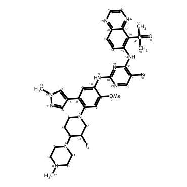 COc1cc(N2CCC(N3CCN(C)CC3)C(F)C2)c(-c2cnn(C)c2)cc1Nc1ncc(Br)c(Nc2ccc3nccnc3c2P(C)(C)=O)n1